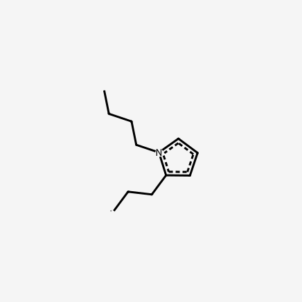 [CH2]CCc1cccn1CCCC